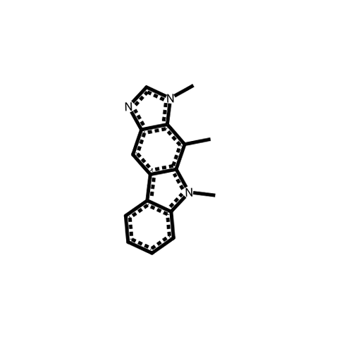 Cc1c2c(cc3c4ccccc4n(C)c13)ncn2C